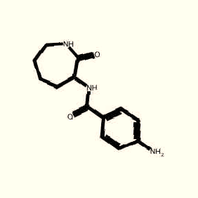 Nc1ccc(C(=O)NC2CCCCNC2=O)cc1